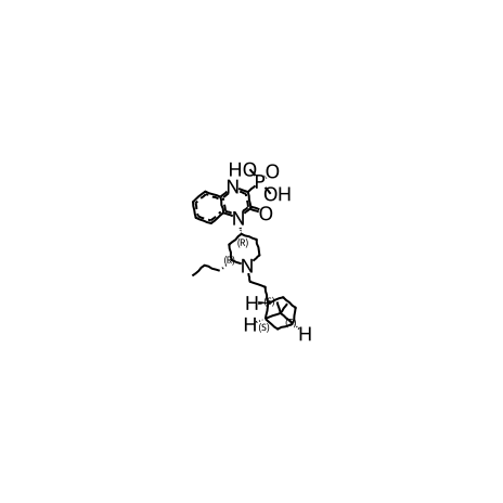 CCC[C@@H]1C[C@H](n2c(=O)c(P(=O)(O)O)nc3ccccc32)CCN1CC[C@@H]1CC[C@H]2C[C@@H]1C2(C)C